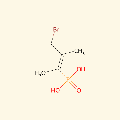 C/C(CBr)=C(/C)P(=O)(O)O